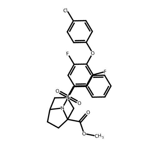 COC(=O)C12CCC(CN(Cc3ccccc3)C1)N2S(=O)(=O)c1cc(F)c(Oc2ccc(Cl)cc2)c(F)c1